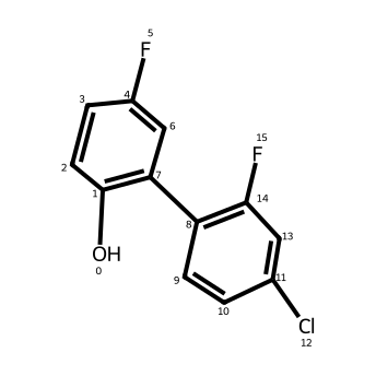 Oc1ccc(F)cc1-c1ccc(Cl)cc1F